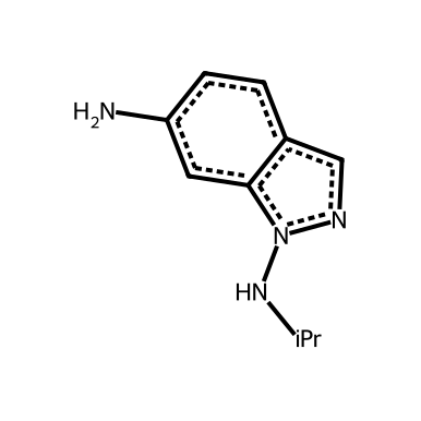 CC(C)Nn1ncc2ccc(N)cc21